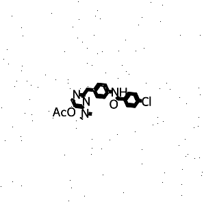 CC(=O)Oc1cnc(Cc2ccc(NC(=O)c3ccc(Cl)cc3)cc2)nc1N(C)C